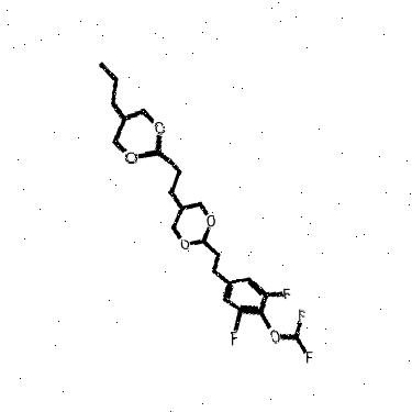 CCCC1COC(CCC2COC(CCc3cc(F)c(OC(F)F)c(F)c3)OC2)OC1